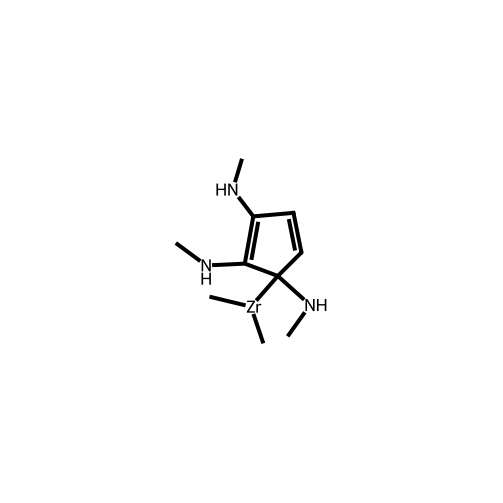 CNC1=C(NC)[C](NC)([Zr]([CH3])[CH3])C=C1